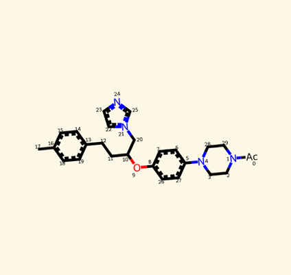 CC(=O)N1CCN(c2ccc(OC(CCc3ccc(C)cc3)Cn3ccnc3)cc2)CC1